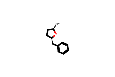 CCC[C@@H]1CC[C@H](Cc2ccccc2)O1